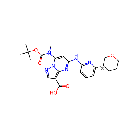 CN(C(=O)OC(C)(C)C)c1cc(Nc2cccc([C@H]3CCCOC3)n2)nc2c(C(=O)O)cnn12